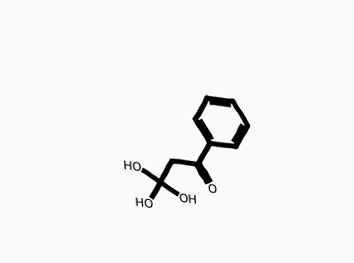 O=C(CC(O)(O)O)c1ccccc1